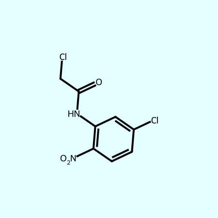 O=C(CCl)Nc1cc(Cl)ccc1[N+](=O)[O-]